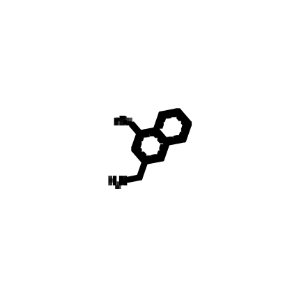 CCCCc1cc(CN)cc2ccccc12